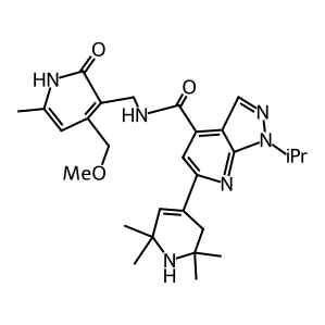 COCc1cc(C)[nH]c(=O)c1CNC(=O)c1cc(C2=CC(C)(C)NC(C)(C)C2)nc2c1cnn2C(C)C